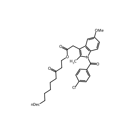 CCCCCCCCCCCCCCCC(=O)CCOC(=O)Cc1c(C)n(C(=O)c2ccc(Cl)cc2)c2ccc(OC)cc12